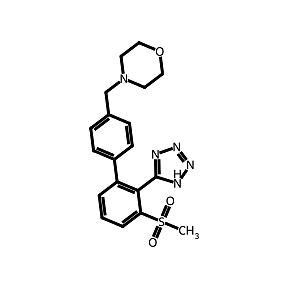 CS(=O)(=O)c1cccc(-c2ccc(CN3CCOCC3)cc2)c1-c1nnn[nH]1